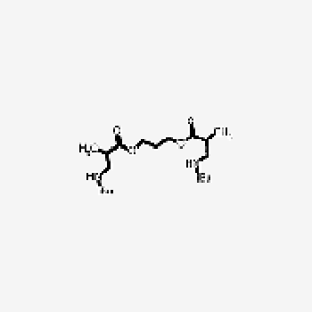 CCC(C)NCC(C)C(=O)OCCCOC(=O)C(C)CNC(C)CC